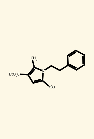 CCOC(=O)c1cc(C(C)(C)C)n(CCc2ccccc2)c1C